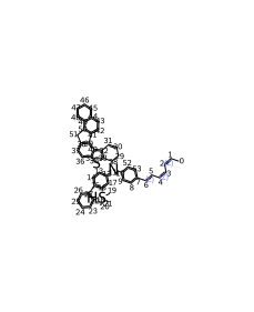 C\C=C/C=C\C=C\c1ccc(N(c2ccc3c(c2)[SH](C)(C)(C)c2ccccc2-3)C2CC=Cc3c2sc2ccc4c(c32)-c2ccc3ccccc3c2C4)cc1